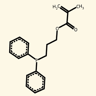 C=C(C)C(=O)OCCCP(c1ccccc1)c1ccccc1